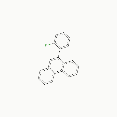 Fc1ccccc1-c1cc2ccccc2c2ccccc12